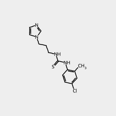 Cc1cc(Cl)ccc1NC(=S)NCCCn1ccnc1